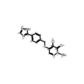 CC(C)(C)n1ncc(SCc2ccc(-c3ncn[nH]3)cc2)c(Cl)c1=O